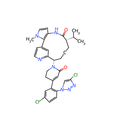 CC(C)[C@@H]1CCC[C@H](N2CCC(c3cc(Cl)ccc3-n3cc(Cl)nn3)=CC2=O)c2cc(ccn2)-c2c(ccn2C)NC1=O